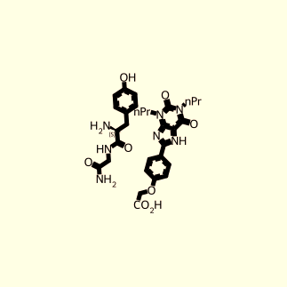 CCCn1c(=O)c2[nH]c(-c3ccc(OCC(=O)O)cc3)nc2n(CCC)c1=O.NC(=O)CNC(=O)[C@@H](N)Cc1ccc(O)cc1